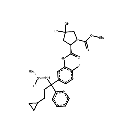 CCC1(O)C[C@H](C(=O)Nc2cc(C(CCC3CC3)(N[S@+]([O-])C(C)(C)C)c3ccccn3)ccc2F)N(C(=O)OC(C)(C)C)C1